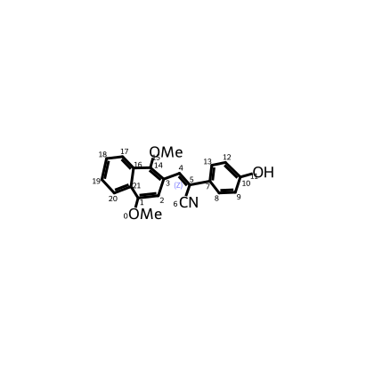 COc1cc(/C=C(\C#N)c2ccc(O)cc2)c(OC)c2ccccc12